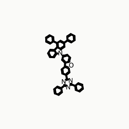 c1ccc(-c2cc(-c3ccccc3)c3c4ccccc4n(-c4ccc5oc6cc(-c7nc(-c8ccccc8)nc(-c8ccccc8)n7)ccc6c5c4)c3c2)cc1